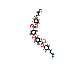 O=C(Oc1ccc(CC=CF)cc1)c1ccc(Oc2ccc(C(=O)Oc3ccc(CC=CF)cc3)cc2)cc1